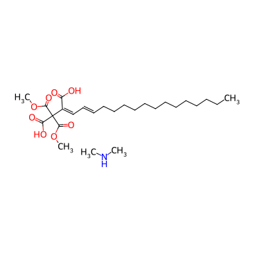 CCCCCCCCCCCCCC=CC=C(C(=O)O)C(C(=O)O)(C(=O)OC)C(=O)OC.CNC